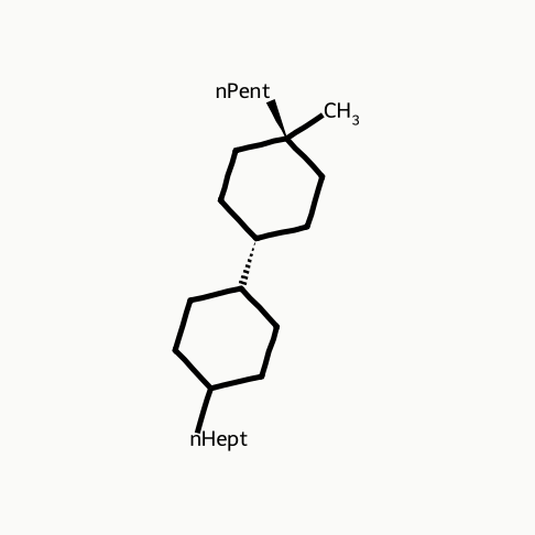 CCCCCCCC1CCC([C@H]2CC[C@](C)(CCCCC)CC2)CC1